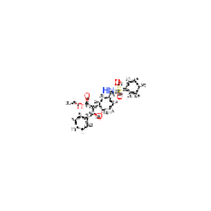 CCOC(=O)c1c(-c2ccccc2)oc2ccc(NS(=O)(=O)c3ccccc3)cc12